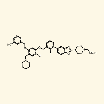 Cc1c(COc2cc(OCc3cncc(C#N)c3)c(CN3CCCCC3)cc2Cl)cccc1-c1ccc2oc(C3CCN(CC(=O)O)CC3)nc2c1